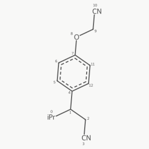 CC(C)C(CC#N)c1ccc(OCC#N)cc1